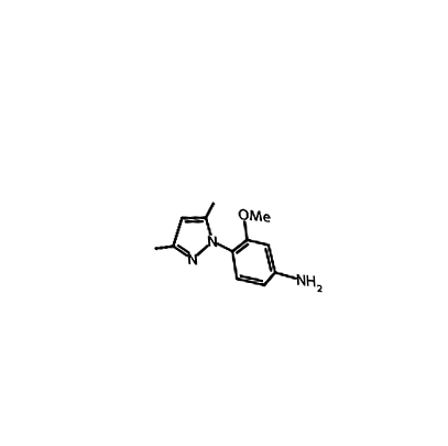 COc1cc(N)ccc1-n1nc(C)cc1C